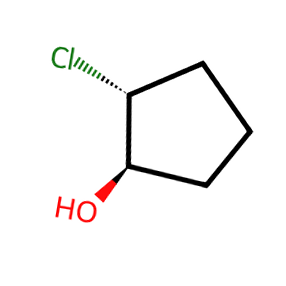 O[C@@H]1CCC[C@H]1Cl